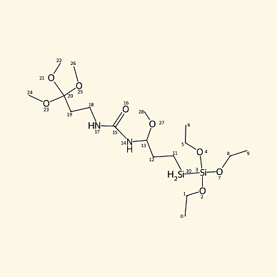 CCO[Si](OCC)(OCC)[SiH2]CCC(NC(=O)NCCC(OC)(OC)OC)OC